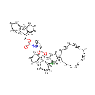 O=C(CC(NC(=O)OCC1c2ccccc2-c2ccccc21)C(F)(F)F)OC(c1ccccc1)(c1ccc(C2CCCCCCCCCCCCC2)cc1)c1ccccc1Cl